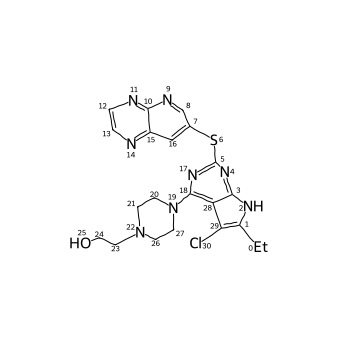 CCc1[nH]c2nc(Sc3cnc4nccnc4c3)nc(N3CCN(CCO)CC3)c2c1Cl